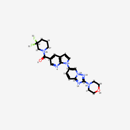 O=C(c1cnc2c(ccn2-c2ccc3nc(N4CCOCC4)nn3c2)c1)N1CCCC(F)(F)C1